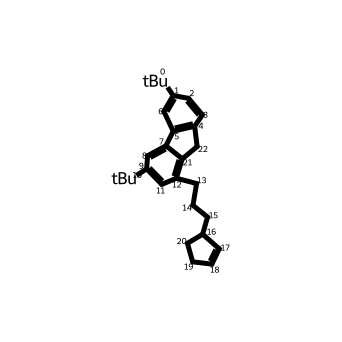 CC(C)(C)c1ccc2c(c1)-c1cc(C(C)(C)C)cc(CCCC3C=CCC3)c1C2